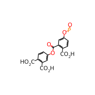 O=POc1ccc(C(=O)O)c(C(=O)Oc2ccc(C(=O)O)c(C(=O)O)c2)c1